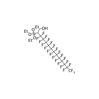 CCO[Si](OCC)(OCC)C(CO)C(F)(F)C(F)(F)C(F)(F)C(F)(F)C(F)(F)C(F)(F)C(F)(F)C(F)(F)C(F)(F)C(F)(F)C(F)(F)C(F)(F)F